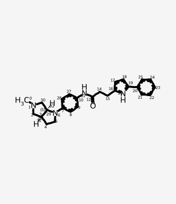 CN1C[C@@H]2CCN(c3ccc(NC(=O)CCc4ccc(-c5ccccc5)[nH]4)cc3)[C@@H]2C1